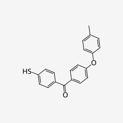 Cc1ccc(Oc2ccc(C(=O)c3ccc(S)cc3)cc2)cc1